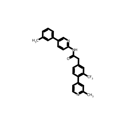 Cc1cccc(-c2ccc(NC(=O)Cc3ccc(-c4ccnc(C)c4)c(C(F)(F)F)c3)nc2)c1